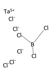 ClB(Cl)Cl.[Cl-].[Cl-].[Cl-].[Cl-].[Cl-].[Ta+5]